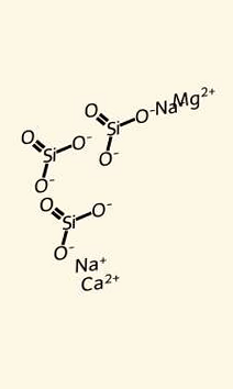 O=[Si]([O-])[O-].O=[Si]([O-])[O-].O=[Si]([O-])[O-].[Ca+2].[Mg+2].[Na+].[Na+]